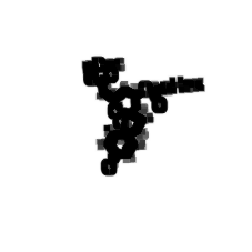 CCCCCCCCCCOC(=O)CC1CC(OC(=O)CCCCCC)C[C@]2(CCC3(C=CC(=O)C=C3)O2)O1